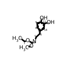 CCOC(=NCCc1ccc(O)c(O)c1)OC